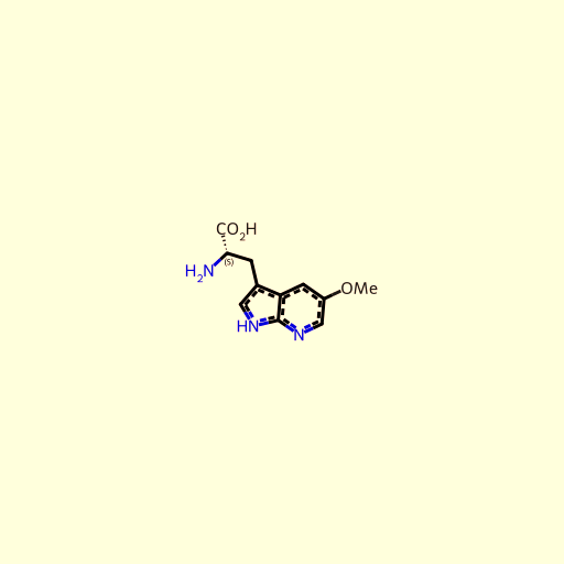 COc1cnc2[nH]cc(C[C@H](N)C(=O)O)c2c1